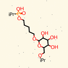 CC(C)OCC1OC(OCCCCCOP(=O)(O)C(C)C)C(O)C(O)C1O